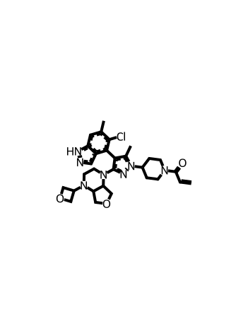 C=CC(=O)N1CCC(n2nc(N3CCN(C4COC4)C4COCC43)c(-c3c(Cl)c(C)cc4[nH]ncc34)c2C)CC1